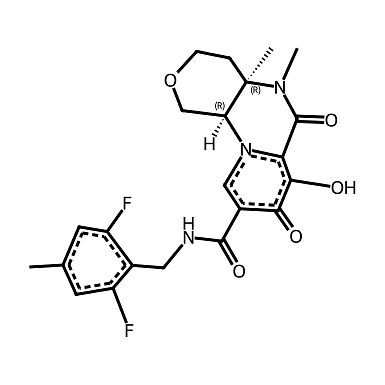 Cc1cc(F)c(CNC(=O)c2cn3c(c(O)c2=O)C(=O)N(C)[C@]2(C)CCOC[C@H]32)c(F)c1